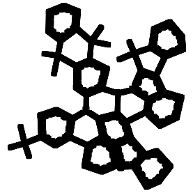 CC(C)(C)c1ccc(N2c3cc4c(cc3B3c5c2cc2oc6ccccc6c2c5-c2cccc5c6c(n3c25)C(C)(C)c2ccccc2-6)C(C)(C)c2ccccc2C4(C)C)c(-c2ccccc2)c1